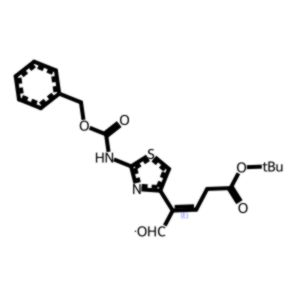 CC(C)(C)OC(=O)C/C=C(/[C]=O)c1csc(NC(=O)OCc2ccccc2)n1